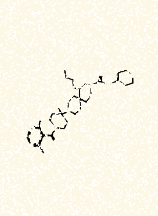 CCCCC1CN(C(=O)OC2CCOCC2)CCC12CCN(C1(C)CCN(C(=O)c3c(C)ncnc3C)CC1)CC2